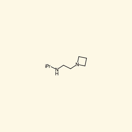 CC(C)NCCN1CCC1